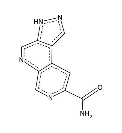 NC(=O)c1cc2c(cn1)ncc1[nH]ncc12